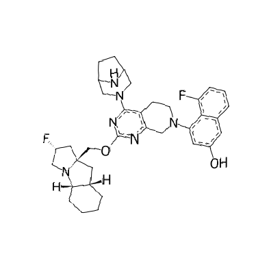 Oc1cc(N2CCc3c(nc(OC[C@]45C[C@@H](F)CN4[C@H]4CCCC[C@H]4C5)nc3N3CC4CCC(C3)N4)C2)c2c(F)cccc2c1